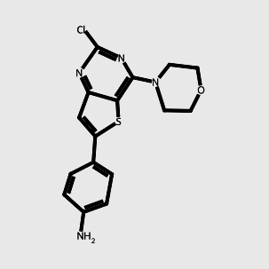 Nc1ccc(-c2cc3nc(Cl)nc(N4CCOCC4)c3s2)cc1